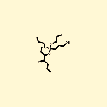 CC=CC(=O)C(CC)O[Si](CCCO)(OCCC)OCCC